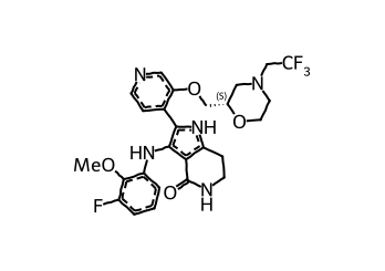 COc1c(F)cccc1Nc1c(-c2ccncc2OC[C@@H]2CN(CC(F)(F)F)CCO2)[nH]c2c1C(=O)NCC2